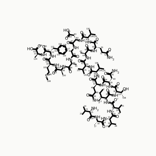 CC[C@H](C)[C@H](NC(=O)[C@@H](NC(=O)[C@@H](NC(=O)[C@H](C)NC(=O)[C@@H](N)C(C)C)C(C)C)C(C)C)C(=O)N[C@H](C(=O)N[C@@H](CC(N)=O)C(=O)N[C@@H](CCC(N)=O)C(=O)N[C@H](C(=O)N[C@H](C(=O)N[C@@H](C)C(=O)N[C@@H](CCC(N)=O)C(=O)N[C@H](C(=O)N[C@@H](CC(=O)O)C(=O)NCC(=O)N[C@@H](C)C(=O)N[C@@H](C)C(=O)N[C@@H](CCSC)C(=O)N[C@@H](Cc1ccccc1)C(=O)N[C@@H](C)C(=O)O)C(C)C)C(C)C)C(C)C)[C@@H](C)O